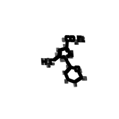 CCOC(=O)c1cc(C)n(C2CCCCO2)n1